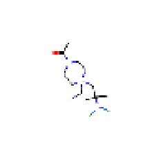 CC(=O)N1CC[N+](CI)(CC(C)(C)N(Cl)Cl)CC1